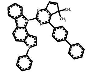 CC1(C)C=Cc2nc(-n3c4ccccc4c4ccc5c(ccn5-c5ccccc5)c43)nc(-c3ccc(-c4ccccc4)cc3)c21